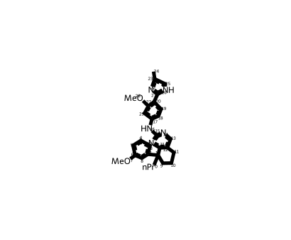 CCCC1(c2cccc(OC)c2)CCCc2cnc(Nc3ccc(-c4nc(C)c[nH]4)c(OC)c3)nc21